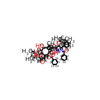 CC[Si](CC)(CC)OC1C[C@H]2OC[C@@]2(CO)[C@H]2[C@H](OC(=O)c3ccccc3)[C@]3(O)C[C@H](OC(=O)[C@H](O[Si](C)(C)C(C)(C)C)[C@@H](NC(=O)c4ccccc4)c4ccccc4)C(C)=C([C@@H](O)C(=O)[C@]12C)C3(C)C